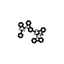 C[Si]1(C)c2ccccc2-c2nc(-c3ccc4c(c3)c3ccccc3n4-c3nc(-c4ccccc4)nc4ccccc34)nc(-n3c4ccccc4c4ccccc43)c21